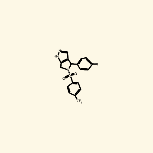 O=S(=O)(c1ccc(C(F)(F)F)cc1)N1Cc2[nH]ncc2C1c1ccc(F)cc1